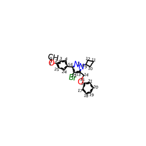 COc1ccc(-c2nn(C3CCC3)c(COc3ccccc3)c2Br)cc1